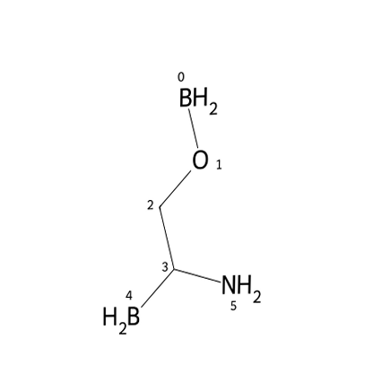 BOCC(B)N